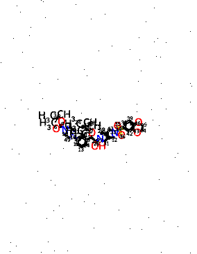 CC(C)(C)OC(=O)N1CCN(c2cccc(C(O[Si](C)(C)C(C)(C)C)C(O)N3CC4=C(C3)CN(S(=O)(=O)c3ccc5c(c3)OCCO5)C4)c2)CC1